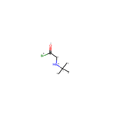 CC(C)(C)NCC(=O)Br